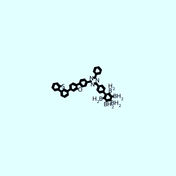 Bc1c(B)c(B)c(-c2ccc(-c3nc(-c4ccccc4)nc(-c4ccc5c(c4)oc4cc(-c6cccc7c6sc6ccccc67)ccc45)n3)cc2)c(B)c1B